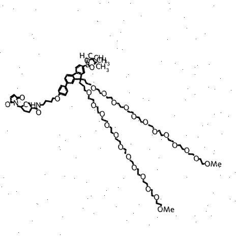 COCCOCCOCCOCCOCCOCCOCCOCCOCCOCCOCCOCCCC1(CCCOCCOCCOCCOCCOCCOCCOCCOCCOCCOCCOCCOC)c2cc(B3OC(C)(C)C(C)(C)O3)ccc2-c2ccc(-c3ccc(OCCCCNC(=O)C4CCC(CN5C(=O)C=CC5=O)CC4)cc3)cc21